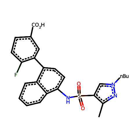 CCCCn1cc(S(=O)(=O)Nc2ccc(-c3cc(C(=O)O)ccc3F)c3ccccc23)c(C)n1